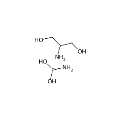 NC(CO)CO.NP(O)O